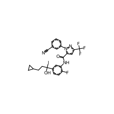 N#Cc1cccc(-n2nc(C(F)(F)F)cc2C(=O)Nc2cc(C(O)(I)CCC3CC3)ccc2F)c1